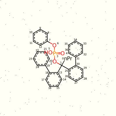 CCCC(OP(=O)(O)Oc1ccccc1)(c1ccccc1-c1ccccc1)c1ccccc1-c1ccccc1